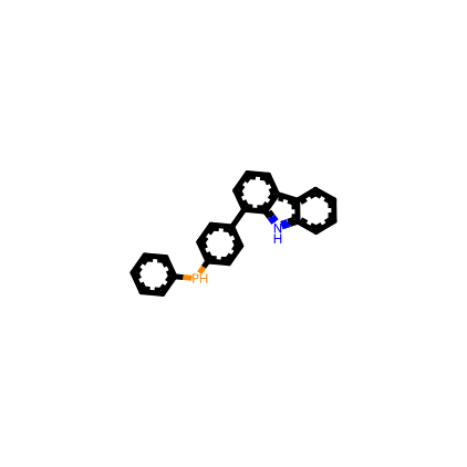 c1ccc(Pc2ccc(-c3cccc4c3[nH]c3ccccc34)cc2)cc1